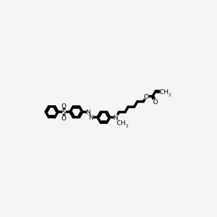 C=CC(=O)OCCCCCCN(C)c1ccc(/N=N/c2ccc(S(=O)(=O)c3ccccc3)cc2)cc1